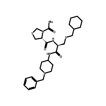 CC(C)(C)C(=O)N1CSC[C@H]1C(=O)N[C@@H](CSCC1CCCCC1)C(=O)NC1CCN(Cc2ccccc2)CC1